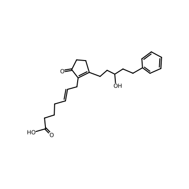 O=C(O)CCCC=CCC1=C(CCC(O)CCc2ccccc2)CCC1=O